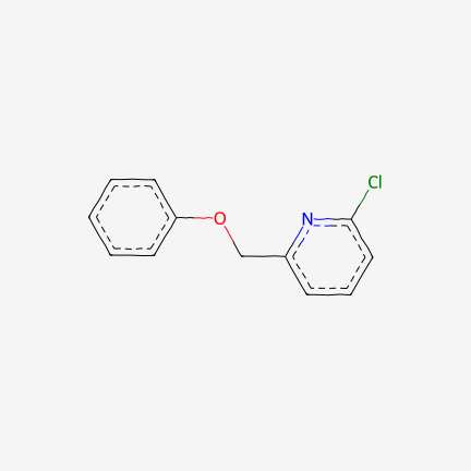 Clc1cccc(COc2ccccc2)n1